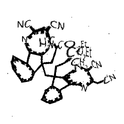 CCOC(=O)C(C)CC1(CC2(CC(C)C(=O)OCC)c3ccccc3-c3nc(C#N)c(C#N)nc32)c2ccccc2-c2nc(C#N)c(C#N)nc21